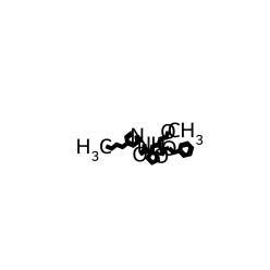 CCCCc1ccnc(NC(=O)C2(CC(CCOC)C(=O)OCc3ccccc3)CCCC2)c1